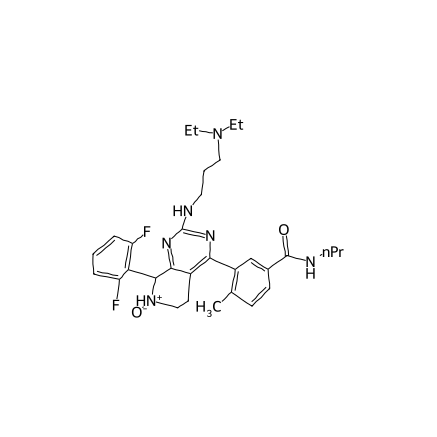 CCCNC(=O)c1ccc(C)c(-c2nc(NCCCN(CC)CC)nc3c2CC[NH+]([O-])C3c2c(F)cccc2F)c1